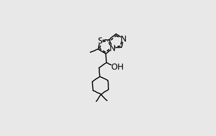 Cc1sc2cncn2c1C(O)CC1CCC(C)(C)CC1